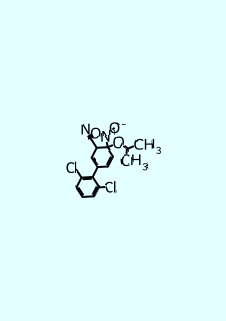 CC(C)OC1([N+](=O)[O-])C=CC(c2c(Cl)cccc2Cl)=CC1C#N